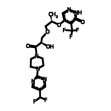 C[C@@H](COC[C@@H](O)C(=O)N1CCN(c2ncc(C(F)F)cn2)CC1)Oc1cn[nH]c(=O)c1C(F)(F)F